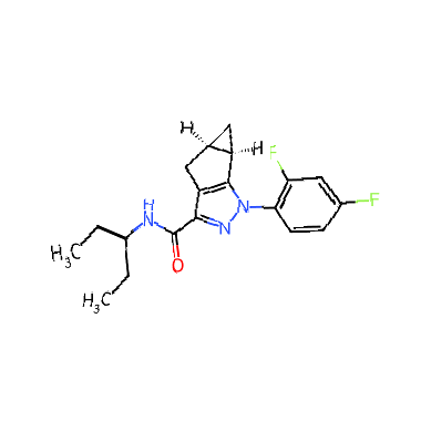 CCC(CC)NC(=O)c1nn(-c2ccc(F)cc2F)c2c1C[C@H]1C[C@@H]21